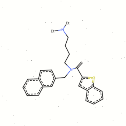 C=C(c1cc2ccccc2s1)N(CCCCN(CC)CC)Cc1ccc2ccccc2c1